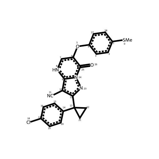 CSc1ccc(Oc2c[nH]c3c(C#N)c(C4(c5ccc(Cl)cc5)CC4)nn3c2=O)cc1